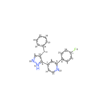 Fc1ccc(-c2cc(-c3[nH]ncc3Cc3ccccc3)ccn2)cc1